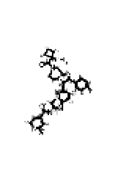 CC1(C(=O)N2CCn3c(nc(-c4ccc(F)cc4)c3-c3ccc4nc(NC(=O)c5ccnc(F)c5)cn4n3)C2)CCC1